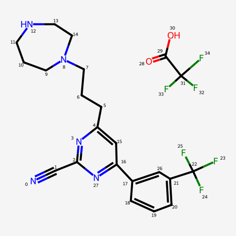 N#Cc1nc(CCCN2CCCNCC2)cc(-c2cccc(C(F)(F)F)c2)n1.O=C(O)C(F)(F)F